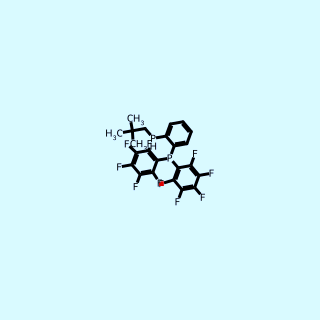 CC(C)(C)CPc1ccccc1P(c1c(F)c(F)c(F)c(F)c1F)c1c(F)c(F)c(F)c(F)c1F